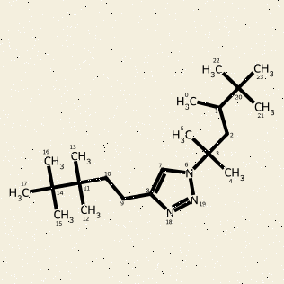 CC(CC(C)(C)n1cc(CCC(C)(C)C(C)(C)C)nn1)C(C)(C)C